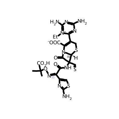 CC[n+]1c(N)nc(N)nc1C1=C(C(=O)[O-])N2C(=O)C(C=S)(NC(=O)/C(=N\OC(C)(C)C(=O)O)c3csc(N)n3)[C@@H]2SC1